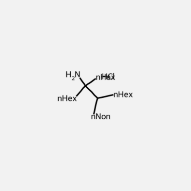 CCCCCCCCCC(CCCCCC)C(N)(CCCCCC)CCCCCC.Cl